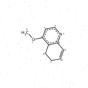 COc1ccnc2c1CCC=C2